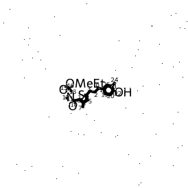 CCC(CCc1cc(C)c(C(=O)N(C)CC(=O)OC)s1)c1ccc(O)c(C)c1